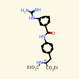 CCOC(=O)N[C@@H](Cc1ccc(NC(=O)c2cccc(NC(=N)N)c2)cc1)C(=O)OCC